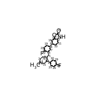 CN1CCN(Cc2cc(-c3ccc4[nH]c(=O)oc4c3)ccc2F)[C@@H](c2ccc(F)cc2)C1